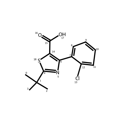 CC(C)(C)c1nc(-c2ccccc2Cl)c(C(=O)O)s1